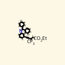 CCOC(=O)CC(C#Cc1cccc(N=C(c2ccccc2)c2ccccc2)c1)C(F)(F)F